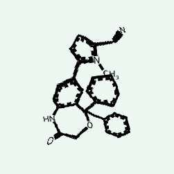 Cn1c(C#N)ccc1-c1ccc2c(c1)C(c1ccccc1)(c1ccccc1)OCC(=O)N2